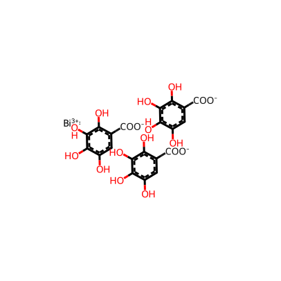 O=C([O-])c1cc(O)c(O)c(O)c1O.O=C([O-])c1cc(O)c(O)c(O)c1O.O=C([O-])c1cc(O)c(O)c(O)c1O.[Bi+3]